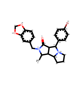 CC(C)C1C2C(C(=O)N1Cc1ccc3c(c1)OCO3)C(c1ccc(Br)cc1)N1CCCC21